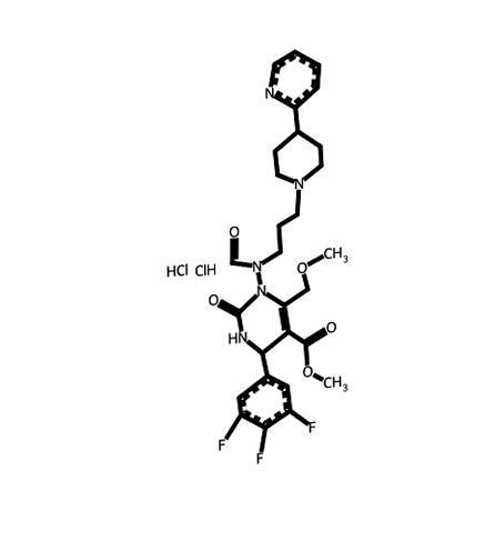 COCC1=C(C(=O)OC)C(c2cc(F)c(F)c(F)c2)NC(=O)N1N(C=O)CCCN1CCC(c2ccccn2)CC1.Cl.Cl